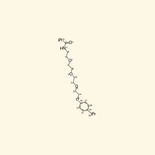 CC(C)C(=O)NCCOCCOCCOCCOc1ccc(C(C)C)cc1